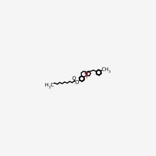 CCCCCCCCCC(=O)Oc1ccc2c(c1)CCC13CCCC21CCN(Cc1cccc(C)c1)C3